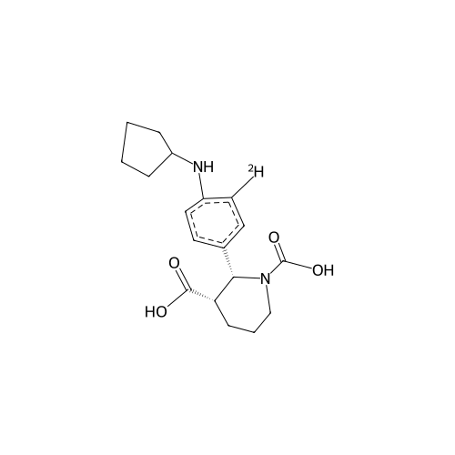 [2H]c1cc([C@H]2[C@@H](C(=O)O)CCCN2C(=O)O)ccc1NC1CCCC1